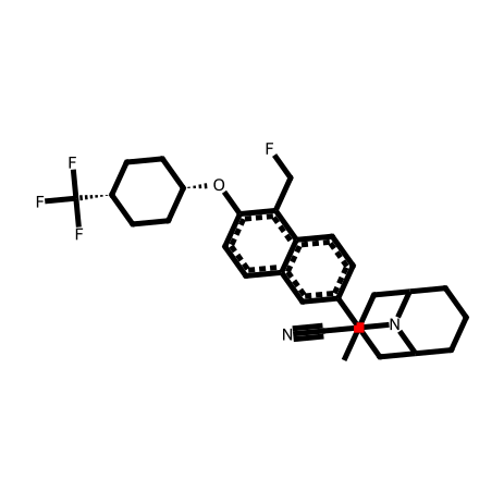 CC(c1ccc2c(CF)c(O[C@H]3CC[C@@H](C(F)(F)F)CC3)ccc2c1)N1C2CCCC1CC(C#N)C2